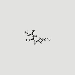 C=C(NC(=O)OC(C)(C)C)NC1CC(C(=O)O)C1